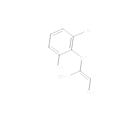 CCC/C=C(/Nc1c(C)cccc1C#N)OC